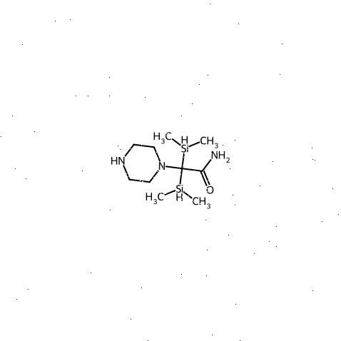 C[SiH](C)C(C(N)=O)(N1CCNCC1)[SiH](C)C